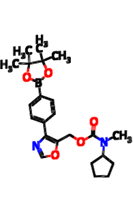 CN(C(=O)OCc1ocnc1-c1ccc(B2OC(C)(C)C(C)(C)O2)cc1)C1CCCC1